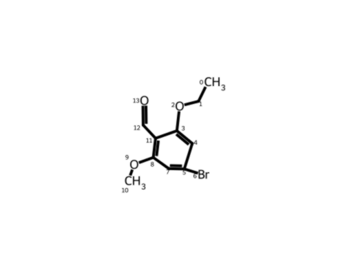 CCOc1cc(Br)cc(OC)c1C=O